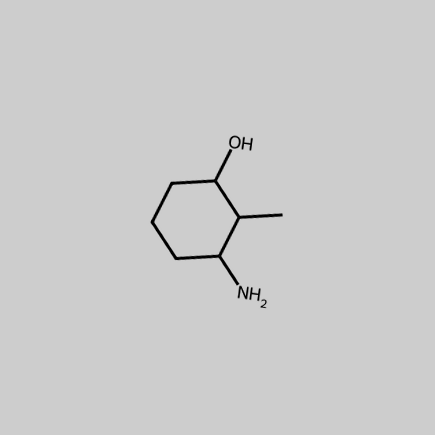 CC1C(N)CCCC1O